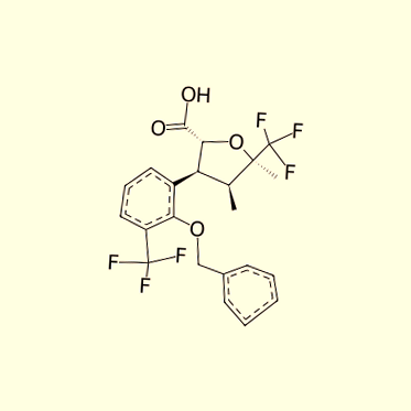 C[C@H]1[C@@H](c2cccc(C(F)(F)F)c2OCc2ccccc2)[C@H](C(=O)O)O[C@@]1(C)C(F)(F)F